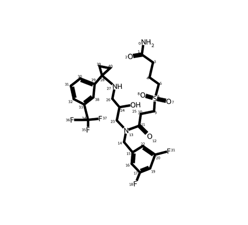 NC(=O)CCCS(=O)(=O)C[CH]C(=O)N(Cc1cc(F)cc(F)c1)CC(O)CNC1(c2cccc(C(F)(F)F)c2)CC1